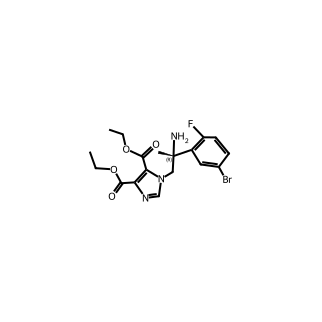 CCOC(=O)c1ncn(C[C@](C)(N)c2cc(Br)ccc2F)c1C(=O)OCC